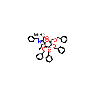 C=CC[C@@]1(C(=NCc2ccccc2)C(=O)OC)O[C@H](COCc2ccccc2)[C@@H](OCc2ccccc2)[C@H](OCc2ccccc2)[C@H]1OCc1ccccc1